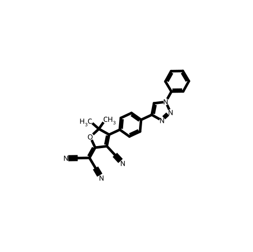 CC1(C)OC(=C(C#N)C#N)C(C#N)=C1c1ccc(-c2cn(-c3ccccc3)nn2)cc1